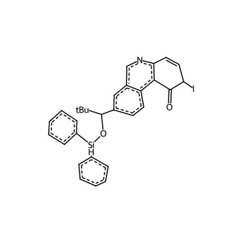 CC(C)(C)C(O[SiH](c1ccccc1)c1ccccc1)c1ccc2c3c(ncc2c1)C=CC(I)C3=O